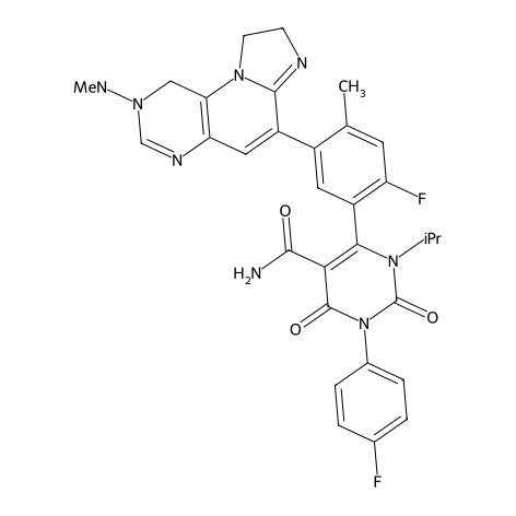 CNN1C=NC2=C(C1)N1CCN=C1C(c1cc(-c3c(C(N)=O)c(=O)n(-c4ccc(F)cc4)c(=O)n3C(C)C)c(F)cc1C)=C2